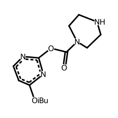 CC(C)COc1ccnc(OC(=O)N2CCNCC2)n1